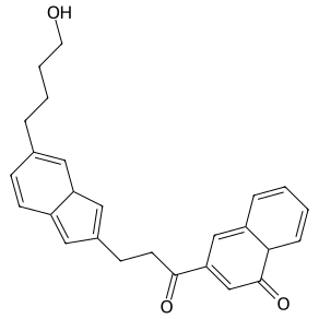 O=C(CCC1=CC2C=C(CCCCO)C=CC2=C1)C1=CC(=O)C2C=CC=CC2=C1